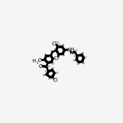 Cc1cc(Cc2c(Cl)cc(NN=Cc3ccccc3)cc2Cl)ccc1C(=O)c1ccc(Cl)cc1